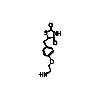 [NH]CCOc1ccc(CC2SC(=O)NC2=O)cc1